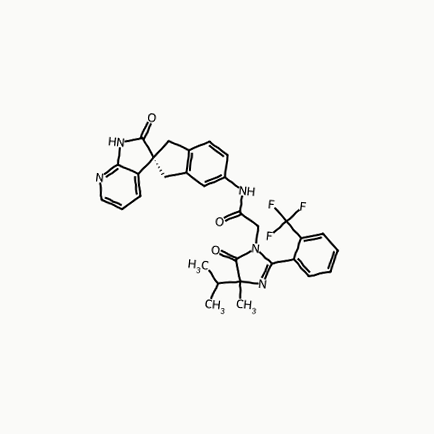 CC(C)C1(C)N=C(c2ccccc2C(F)(F)F)N(CC(=O)Nc2ccc3c(c2)C[C@@]2(C3)C(=O)Nc3ncccc32)C1=O